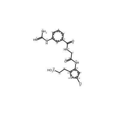 N=C(N)Nc1cccc(C(=O)NCC(=O)Nc2cc(Cl)sc2CCC(=O)O)c1